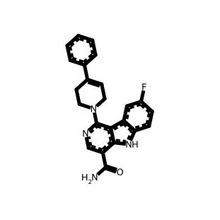 NC(=O)c1cnc(N2CC=C(c3ccccc3)CC2)c2c1[nH]c1ccc(F)cc12